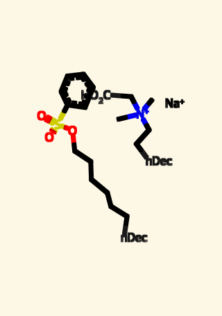 CCCCCCCCCCCCCCCCOS(=O)(=O)c1ccccc1.CCCCCCCCCCCC[N+](C)(C)CC(=O)O.[Na+]